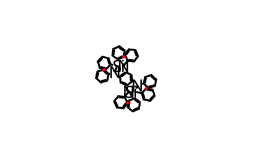 c1ccc(N2c3cc4c(cc3N(c3ccccc3)[Si]2(c2ccccc2)c2ccccc2)N(c2ccccc2)[Si](c2ccccc2)(c2ccccc2)N4c2ccccc2)cc1